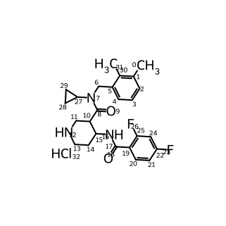 Cc1cccc(CN(C(=O)C2CNCCC2NC(=O)c2ccc(F)cc2F)C2CC2)c1C.Cl